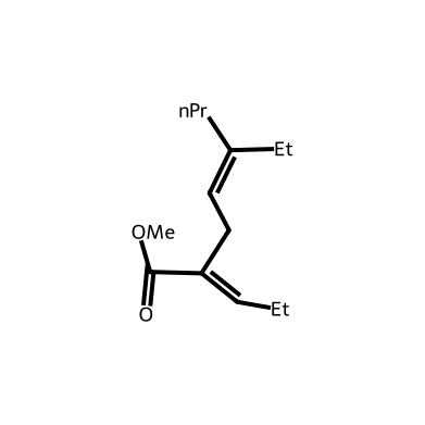 CC/C=C(\C/C=C(\CC)CCC)C(=O)OC